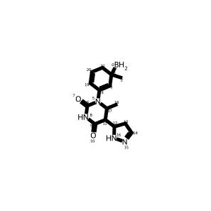 BC1(C)C=C(N2C(=O)NC(=O)C(C3CC=NN3)C2C)C=CC1